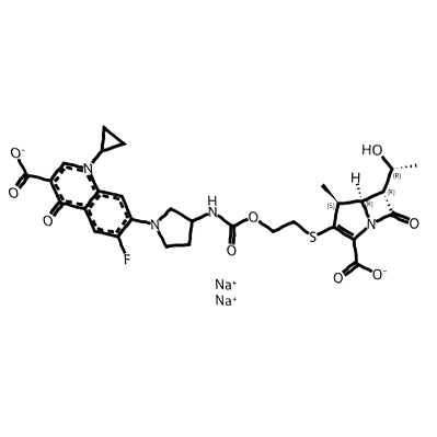 C[C@@H]1C(SCCOC(=O)NC2CCN(c3cc4c(cc3F)c(=O)c(C(=O)[O-])cn4C3CC3)C2)=C(C(=O)[O-])N2C(=O)[C@@H]([C@@H](C)O)[C@H]12.[Na+].[Na+]